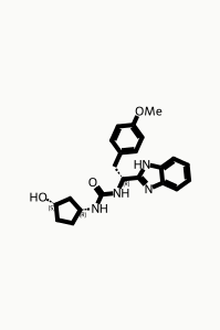 COc1ccc(C[C@@H](NC(=O)N[C@@H]2CC[C@H](O)C2)c2nc3ccccc3[nH]2)cc1